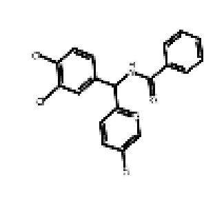 O=C(NC(c1ccc(Cl)c(Cl)c1)c1ccc(Cl)cn1)c1ccccc1